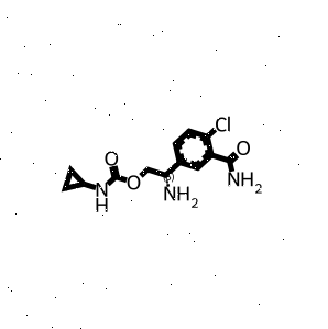 NC(=O)c1cc([C@H](N)COC(=O)NC2CC2)ccc1Cl